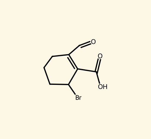 O=CC1=C(C(=O)O)C(Br)CCC1